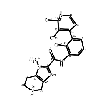 Cn1c(C(=O)Nc2cccc(-c3ccnc(Cl)c3Cl)c2Cl)nc2c1CCNC2